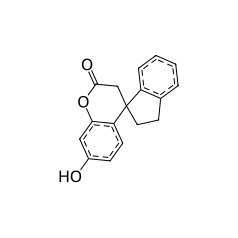 O=C1CC2(CCc3ccccc32)c2ccc(O)cc2O1